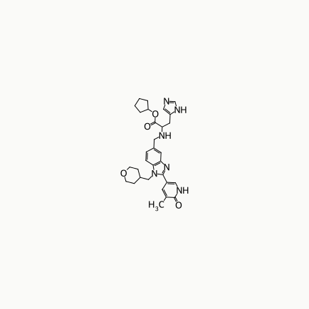 Cc1cc(-c2nc3cc(CNC(Cc4cnc[nH]4)C(=O)OC4CCCC4)ccc3n2CC2CCOCC2)c[nH]c1=O